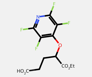 CCOC(=O)C(CCC(=O)O)Oc1c(F)c(F)nc(F)c1F